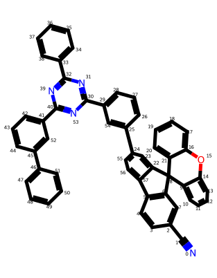 N#Cc1ccc2c(c1)C1(c3ccccc3Oc3ccccc31)c1cc(-c3cccc(-c4nc(-c5ccccc5)nc(-c5cccc(-c6ccccc6)c5)n4)c3)ccc1-2